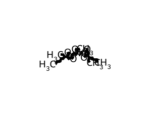 CC/C=C/CCC(CC)C1CC(=O)N(CCN(CCN2C(=O)CC(C(/C=C/CC)CC)C2=O)C(C)=O)C1=O